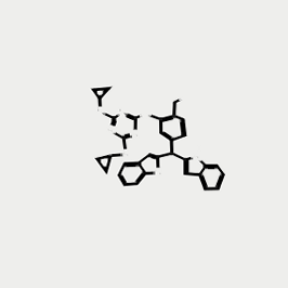 OCc1ccc(C(c2cc3ccccc3[nH]2)c2cc3ccccc3[nH]2)cc1Oc1nc(NC2CC2)nc(NC2CC2)n1